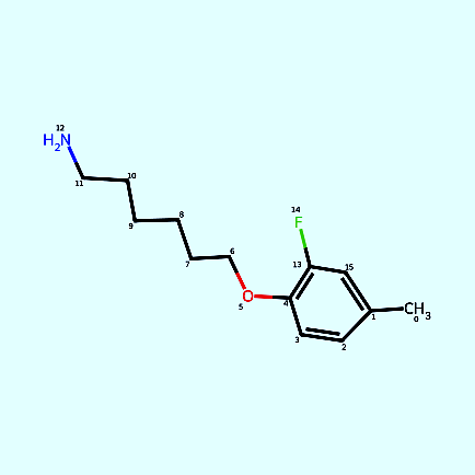 Cc1ccc(OCCCCCCN)c(F)c1